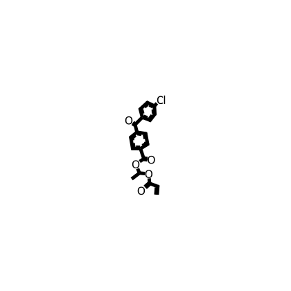 C=CC(=O)OC(C)OC(=O)c1ccc(C(=O)c2ccc(Cl)cc2)cc1